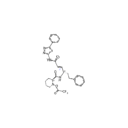 O=C(/C=C/[C@H](CCc1ccccc1)NC(=O)[C@@H]1CCCCN1OC(=O)C(F)(F)F)Nc1nnc(-c2ccccc2)s1